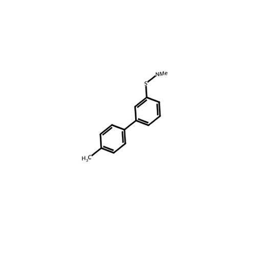 CNSc1cccc(-c2ccc(C)cc2)c1